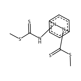 CSC(=S)NN1c2ccc(cc2)N1C(=S)SC